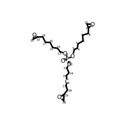 O=P(OCCCCCCC1CO1)(OCCCCCCC1CO1)OCCCCCCC1CO1